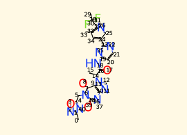 Cc1noc(Cn2c(=O)c3c(ncn3[C@@H](C)C(=O)Nc3ccnc(-c4cnc(C(C)(F)F)c(C)c4)n3)n(C)c2=O)n1